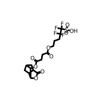 O=C(CCC(=O)OC1C2CC3C(=O)OC1C3C2)OCCCC(F)(F)C(F)(F)S(=O)(=O)O